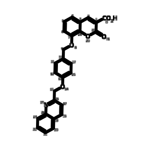 O=C(O)c1cc2cccc(OCc3ccc(OCc4ccc5ccccc5n4)cc3)c2oc1=O